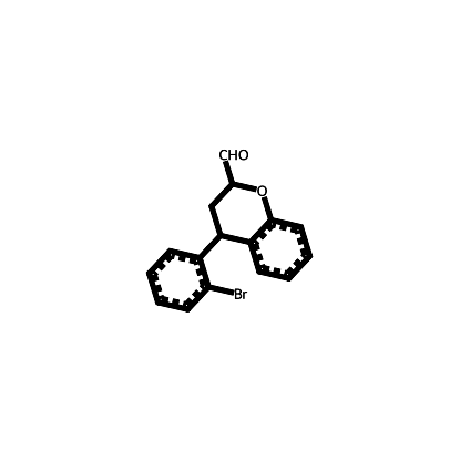 O=CC1CC(c2ccccc2Br)c2ccccc2O1